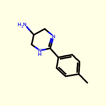 Cc1ccc(C2=NCC(N)CN2)cc1